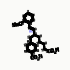 COc1ccccc1/C=C/C(CCCCC(=O)O)Cc1ccc(C(=O)O)cc1